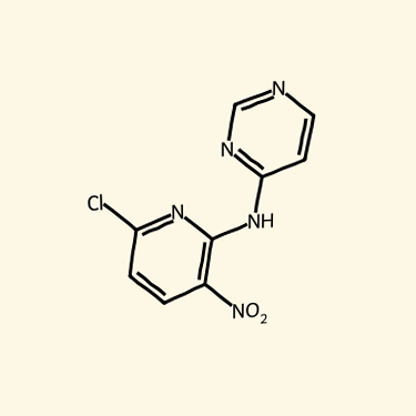 O=[N+]([O-])c1ccc(Cl)nc1Nc1ccncn1